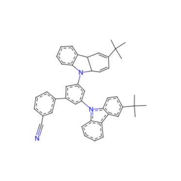 CC(C)(C)C1=CC2c3ccccc3N(c3cc(-c4cccc(C#N)c4)cc(-n4c5ccccc5c5cc(C(C)(C)C)ccc54)c3)C2C=C1